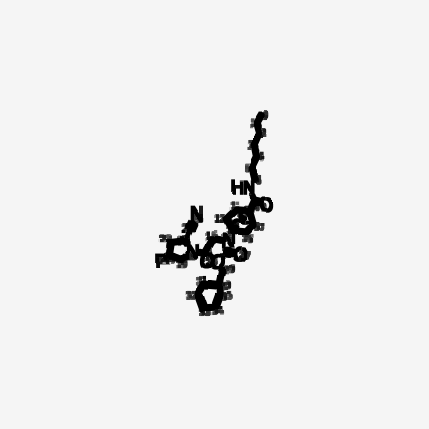 CCCCCCCNC(=O)C12CCC(N(CC(=O)N3C[C@@H](F)C[C@H]3C#N)C(=O)OCc3ccccc3)(CC1)CC2